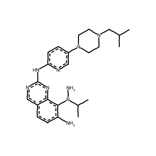 CC(C)CN1CCN(c2ccc(Nc3ncc4ccc(N)c(N(N)C(C)C)c4n3)nc2)CC1